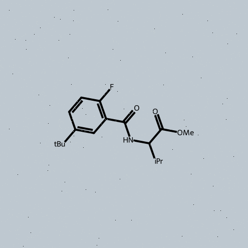 COC(=O)C(NC(=O)c1cc(C(C)(C)C)ccc1F)C(C)C